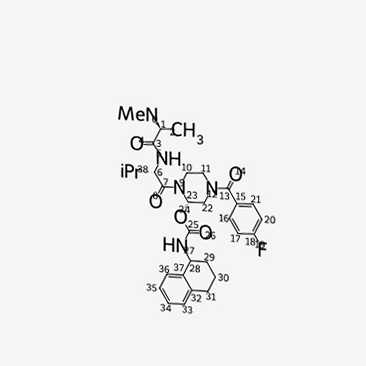 CN[C@@H](C)C(=O)N[C@H](C(=O)N1CCN(C(=O)c2ccc(F)cc2)C[C@@H]1OC(=O)NC1CCCc2ccccc21)C(C)C